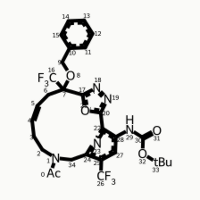 CC(=O)N1CCC=CCC(OCc2ccccc2)(C(F)(F)F)c2nnc(o2)-c2nc(c(C(F)(F)F)cc2NC(=O)OC(C)(C)C)C1